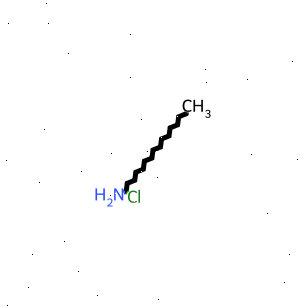 CCCCCCCCCCCCCCCC(N)Cl